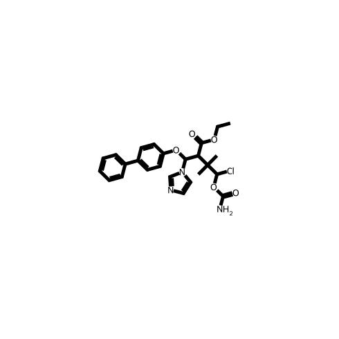 CCOC(=O)C(C(Oc1ccc(-c2ccccc2)cc1)n1ccnc1)C(C)(C)C(Cl)OC(N)=O